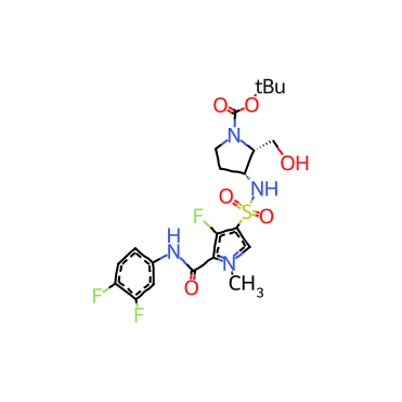 Cn1cc(S(=O)(=O)N[C@@H]2CCN(C(=O)OC(C)(C)C)[C@@H]2CO)c(F)c1C(=O)Nc1ccc(F)c(F)c1